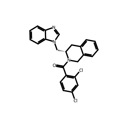 O=C(c1ccc(Cl)cc1Cl)N1Cc2ccccc2C[C@H]1Cn1cnc2ccccc21